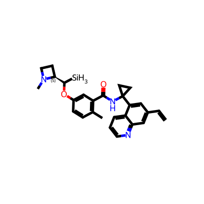 C=Cc1cc(C2(NC(=O)c3cc(OC([SiH3])[C@@H]4CCN4C)ccc3C)CC2)c2cccnc2c1